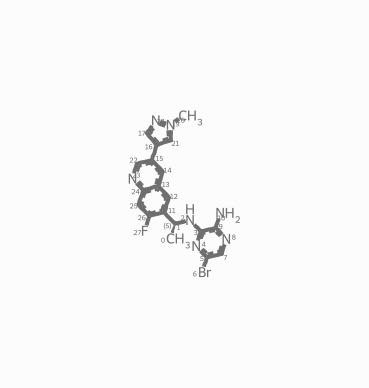 C[C@H](Nc1nc(Br)cnc1N)c1cc2cc(-c3cnn(C)c3)cnc2cc1F